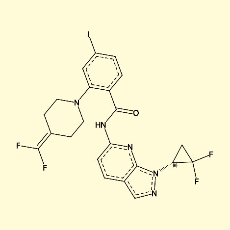 O=C(Nc1ccc2cnn([C@@H]3CC3(F)F)c2n1)c1ccc(I)cc1N1CCC(=C(F)F)CC1